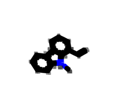 [CH]=Cc1cccc2c3ccccc3n(C)c12